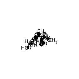 CC1(C)CON(Cc2ccccc2Cl)C1=O.COC(=O)CSc1cc(/N=c2\sc(=O)n3n2CCCC3)c(F)cc1Cl.C[S+](C)C.O=C(O)CNCP(=O)([O-])O